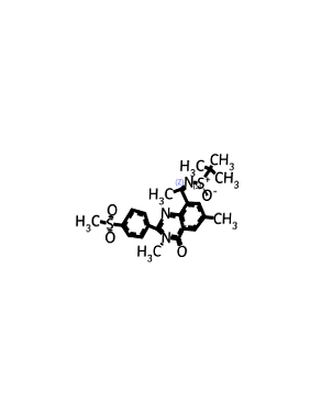 C/C(=N/[S@+]([O-])C(C)(C)C)c1cc(C)cc2c(=O)n(C)c(-c3ccc(S(C)(=O)=O)cc3)nc12